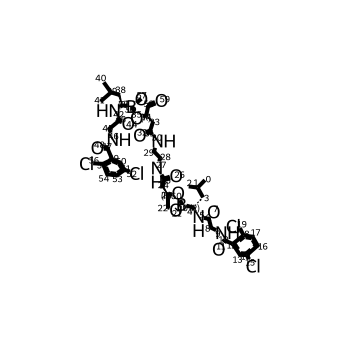 CC(C)C[C@H](NC(=O)CNC(=O)c1cc(Cl)ccc1Cl)B1OC[C@@H](CC(=O)NCCNC(=O)C[C@H]2OB([C@H](CC(C)C)NC(=O)CNC(=O)c3cc(Cl)ccc3Cl)OC2=O)O1